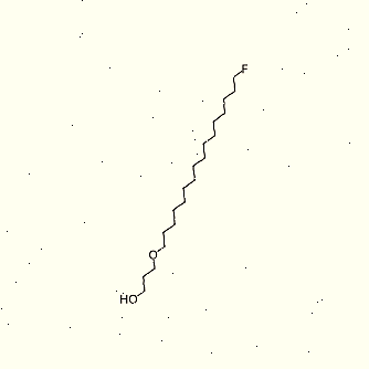 OCCCOCCCCCCCCCCCCCCCCF